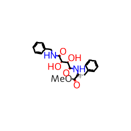 COC(=O)[C@@H](Cc1ccccc1)NC(=O)C(O)C(O)C(=O)NCc1ccccc1